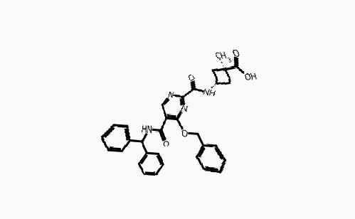 C[C@]1(C(=O)O)C[C@H](NC(=O)c2ncc(C(=O)NC(c3ccccc3)c3ccccc3)c(OCc3ccccc3)n2)C1